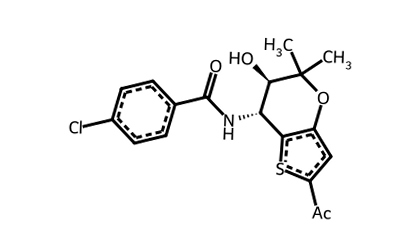 CC(=O)c1cc2c(s1)[C@H](NC(=O)c1ccc(Cl)cc1)[C@@H](O)C(C)(C)O2